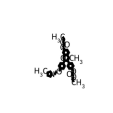 CCOC(=O)Oc1ccc(C2=C(C)c3ccc(OC(=O)OCC)cc3OC2c2ccc(OCCN3CC[C@@H](C)C3)cc2)cc1